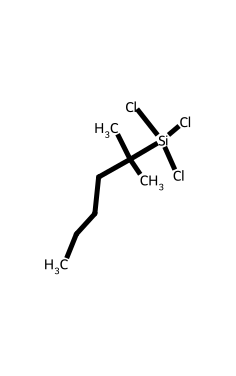 CCCCC(C)(C)[Si](Cl)(Cl)Cl